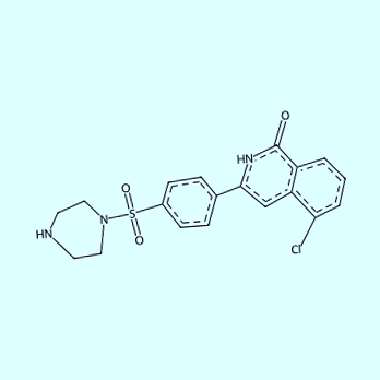 O=c1[nH]c(-c2ccc(S(=O)(=O)N3CCNCC3)cc2)cc2c(Cl)cccc12